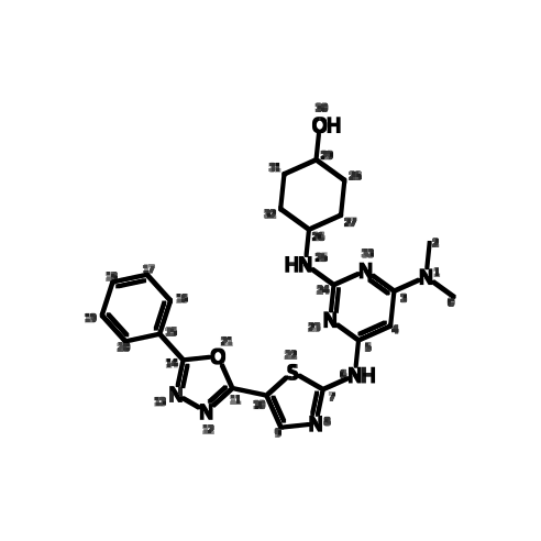 CN(C)c1cc(Nc2ncc(-c3nnc(-c4ccccc4)o3)s2)nc(NC2CCC(O)CC2)n1